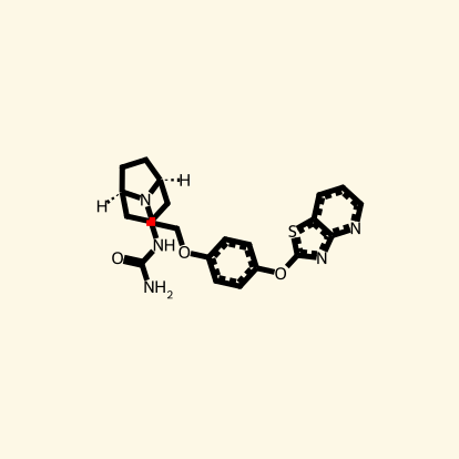 NC(=O)NC1C[C@H]2CC[C@@H](C1)N2CCOc1ccc(Oc2nc3ncccc3s2)cc1